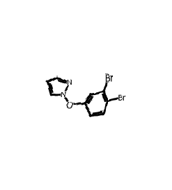 Brc1ccc(On2cc[c]n2)cc1Br